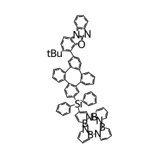 CC(C)(C)c1ccc2c(oc3nc4ccccc4n32)c1-c1ccc2c(c1)-c1ccccc1-c1ccc([Si](C3=CN4B5C=CC=CN5B5C=CC=CN5B5C=CC=CN5B4C=C3)(c3ccccc3)c3ccccc3)cc1-c1ccccc1-2